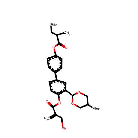 C=C(CO)C(=O)Oc1ccc(-c2ccc(OC(=O)C(C)COC)cc2)cc1C1OCC(CCCCCC)CO1